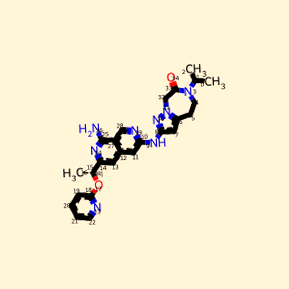 CC(C)N1CCc2cc(Nc3cc4cc([C@@H](C)Oc5ccccn5)nc(N)c4cn3)nn2CC1=O